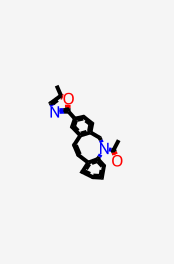 CC(=O)N1Cc2ccc(-c3ncc(C)o3)cc2/C=C\c2ccccc21